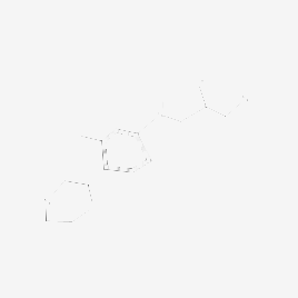 NCC(O)CNc1ccc(C2CNCCO2)c(F)c1